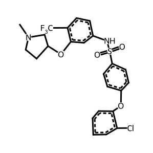 CN1CCC(Oc2cc(NS(=O)(=O)c3ccc(Oc4ccccc4Cl)cc3)ccc2C(F)(F)F)C1